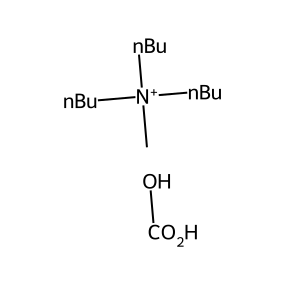 CCCC[N+](C)(CCCC)CCCC.O=C(O)O